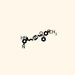 COC1CCC(N(C(=O)CCN2CCN(CCCc3c[nH]c4ccc(C#N)cc34)CC2)c2ccccc2)CC1